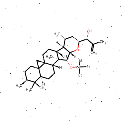 C=C(C)[C@@H](O)[C@H]1C[C@@H](C)[C@H]2[C@H](O1)[C@H](O[Si](CC)(CC)CC)[C@@]1(C)[C@@H]3CC[C@H]4C(C)(C)[C@@H](C)CCC45C[C@@]35CC[C@]21C